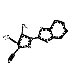 Cc1c(C#N)nn(-c2nc3ccccc3s2)c1C